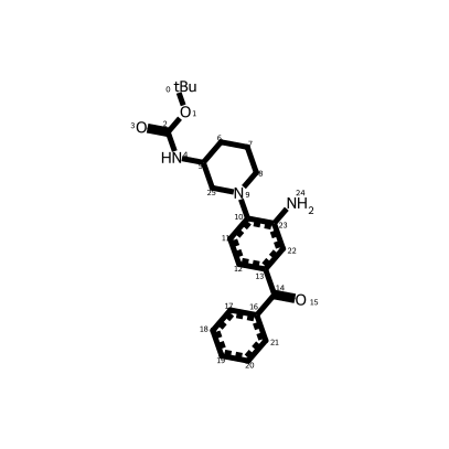 CC(C)(C)OC(=O)NC1CCCN(c2ccc(C(=O)c3ccccc3)cc2N)C1